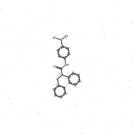 CCN(CC)c1ccc(NC(=O)C(Cc2ccccc2)c2ccccc2)cc1